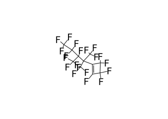 FC1=C(C(C(F)(F)F)(C(F)(F)F)C(F)(C(F)(F)F)C(F)(F)C(F)(F)F)C(F)(F)C1(F)F